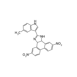 Cc1ccc2[nH]cc(C3=NC4c5cc([N+](=O)[O-])ccc5-c5ccc([N+](=O)[O-])cc5C4N3)c2c1